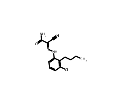 CCCCc1c(Cl)cccc1N/N=C(\C#N)C(N)=O